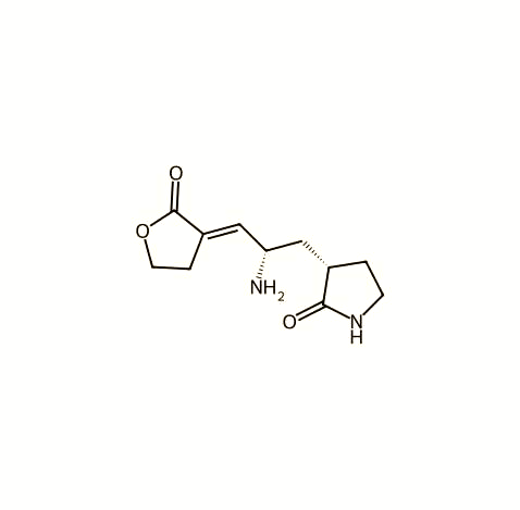 N[C@H](C=C1CCOC1=O)C[C@@H]1CCNC1=O